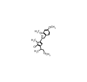 COCC(C)c1cc(NCc2ccc(OC)cc2OC)n(C)c1Cl